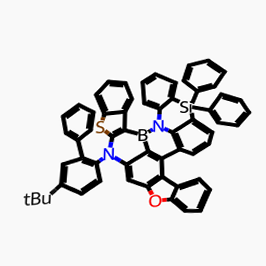 CC(C)(C)c1ccc(N2c3cc4oc5ccccc5c4c4c3B(c3c2sc2ccccc32)N2c3ccccc3[Si](c3ccccc3)(c3ccccc3)c3cccc-4c32)c(-c2ccccc2)c1